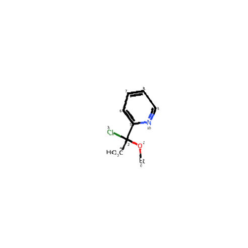 CCOC(Cl)(C(=O)O)c1ccccn1